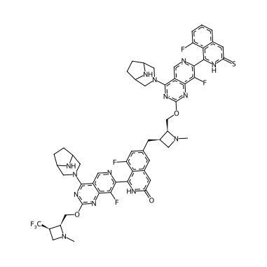 CN1C[C@@H](Cc2cc(F)c3c(-c4ncc5c(N6CC7CCC(C6)N7)nc(OC[C@@H]6[C@H](C(F)(F)F)CN6C)nc5c4F)[nH]c(=O)cc3c2)[C@H]1COc1nc(N2CC3CCC(C2)N3)c2cnc(-c3[nH]c(=S)cc4cccc(F)c34)c(F)c2n1